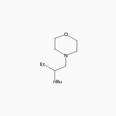 CCCCC(CC)CN1CCOCC1